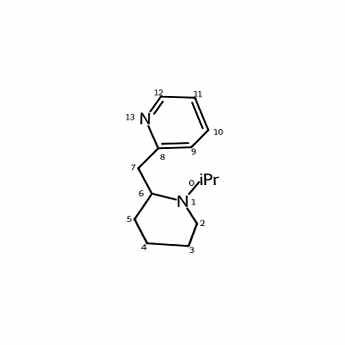 CC(C)N1CCCCC1Cc1ccccn1